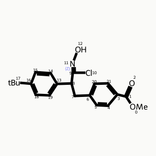 COC(=O)c1ccc(CC(/C(Cl)=N/O)c2ccc(C(C)(C)C)cc2)cc1